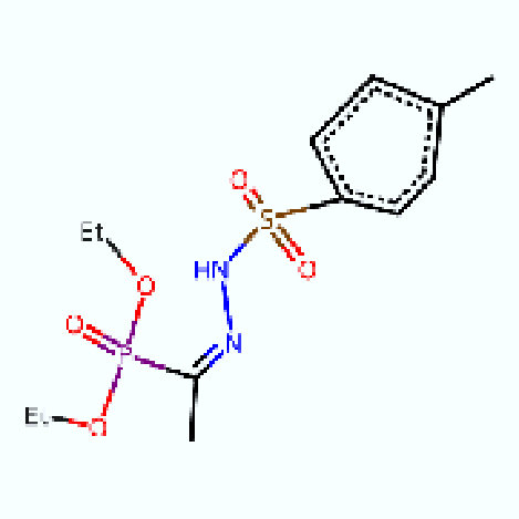 CCOP(=O)(OCC)C(C)=NNS(=O)(=O)c1ccc(C)cc1